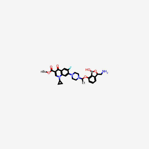 CCCCOC(=O)c1cn(C2CC2)c2cc(N3CCN(C(CC)Oc4cccc5c4B(O)OC5CN)CC3)c(F)cc2c1=O